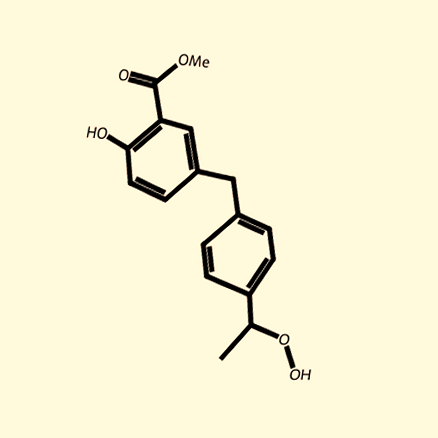 COC(=O)c1cc(Cc2ccc(C(C)OO)cc2)ccc1O